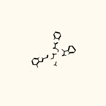 COc1cccc2[nH]c(C(=O)N[C@@H](CC(C)C)C(=O)N[C@@H](CC3C(=O)Nc4ccccc43)C(=O)c3nc4ccccc4s3)cc12